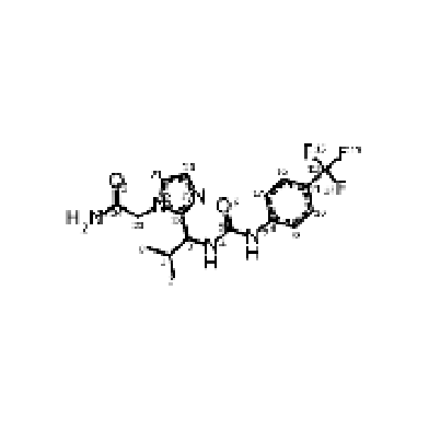 CC(C)C(NC(=O)Nc1ccc(C(F)(F)F)cc1)c1nccn1CC(N)=O